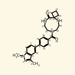 Cc1nn(C)c2ccc(-c3ccc(C(=O)N4CCNC(=O)C5(CCC5)NCC4)cc3)cc12